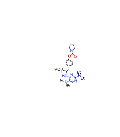 CCN(CC)c1ncc(N(C(C)=O)C(C)C)c(N[C@@H](Cc2ccc(OC(=O)N3CCCC3)cc2)C(=O)O)n1